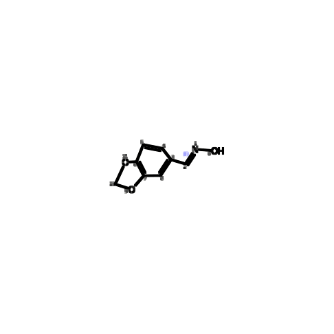 O/N=C/c1ccc2c(c1)OCO2